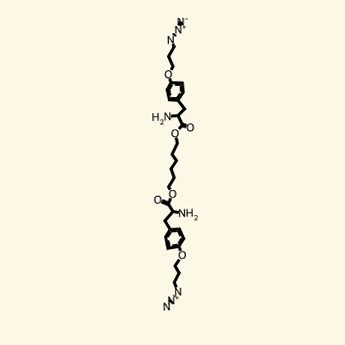 [N-]=[N+]=NCCCOc1ccc(CC(N)C(=O)OCCCCCCOC(=O)C(N)Cc2ccc(OCCCN=[N+]=[N-])cc2)cc1